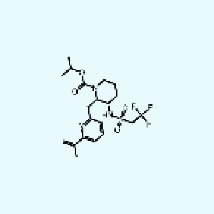 C=C(C)c1cccc(C[C@@H]2[C@H](NS(=O)(=O)CC(F)(F)F)CCCN2C(=O)OC(C)C)n1